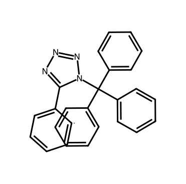 [c]1ccccc1-c1nnnn1C(c1ccccc1)(c1ccccc1)c1ccccc1